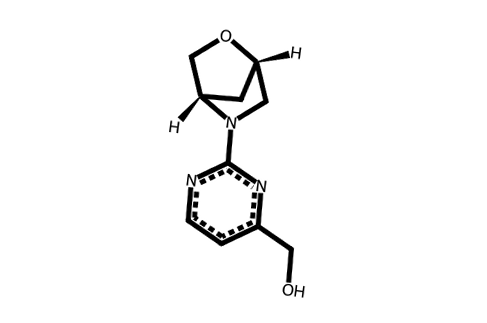 OCc1ccnc(N2C[C@@H]3C[C@H]2CO3)n1